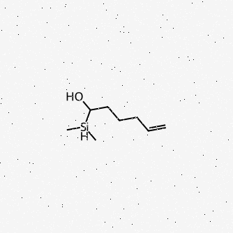 C=CCCCC(O)[SiH](C)C